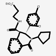 CCOC(=O)CCNC(=O)[C@@H]1c2ccccc2C(=O)N(C2CCCC2)[C@H]1c1ccc(Cl)cc1Cl